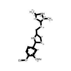 CCOc1ccc(C2NC(CSC3SC(C)NN3C)CS2)cc1OC